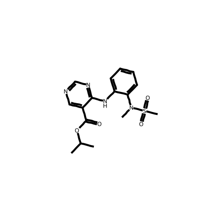 CC(C)OC(=O)c1cncnc1Nc1ccccc1N(C)S(C)(=O)=O